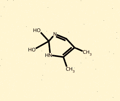 CC1=C(C)NC(O)(O)N=C1